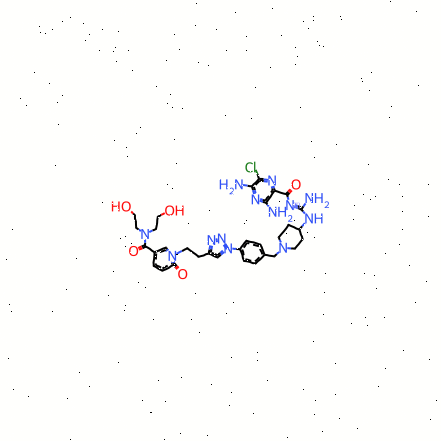 N/C(=N\C(=O)c1nc(Cl)c(N)nc1N)NC1CCN(Cc2ccc(-n3cc(CCn4cc(C(=O)N(CCO)CCO)ccc4=O)nn3)cc2)CC1